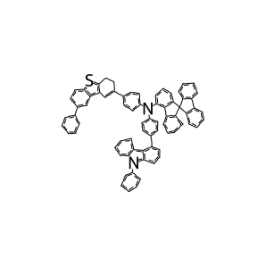 C1=C(c2ccc(N(c3ccc(-c4cccc5c4c4ccccc4n5-c4ccccc4)cc3)c3cccc4c3-c3ccccc3C43c4ccccc4-c4ccccc43)cc2)CCc2sc3ccc(-c4ccccc4)cc3c21